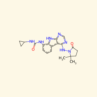 CC1(C)CCC(=O)N1Nc1ncnc2[nH]c3c(NC(=O)NC4CC4)cccc3c12